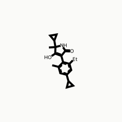 CCc1cc(C2CC2)cc(C)c1C1=C(O)C(C)(C2CC2)NC1=O